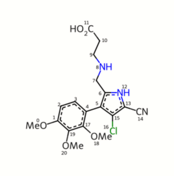 COc1ccc(-c2c(CNCCC(=O)O)[nH]c(C#N)c2Cl)c(OC)c1OC